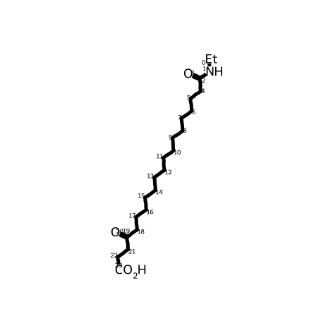 CCNC(=O)CCCCCCCCCCCCCCCC(=O)CCC(=O)O